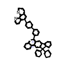 C=c1cccc/c1=c1\cc2c(c\c1=C(\C)c1cccc(-c3ccc(-c4cc5cccnc5c5ncccc45)cc3)c1)-c1ccccc1C2(C1=CCCC=C1)C1=CC=CCC1